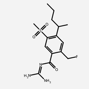 CCCC(C)c1cc(CF)c(C(=O)N=C(N)N)cc1S(C)(=O)=O